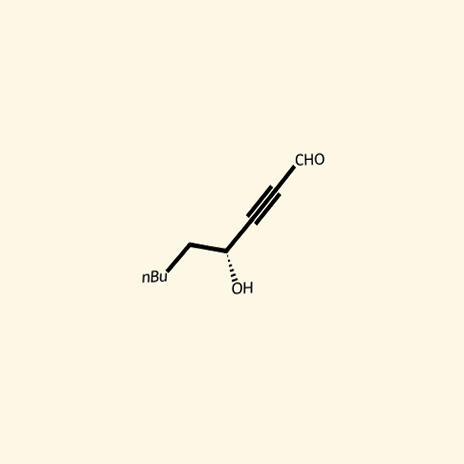 CCCCC[C@@H](O)C#CC=O